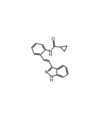 O=C(Nc1ccccc1C=Cc1n[nH]c2ccccc12)C1CC1